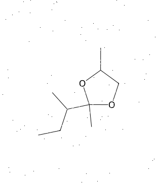 CCC(C)C1(C)OCC(C)O1